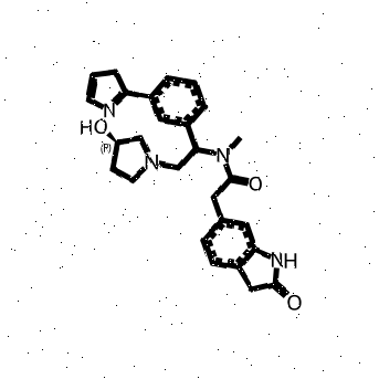 CN(C(=O)Cc1ccc2c(c1)NC(=O)C2)C(CN1CC[C@@H](O)C1)c1cccc(C2=NC=CC2)c1